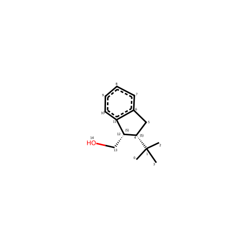 CC(C)(C)[C@H]1Cc2ccccc2[C@H]1CO